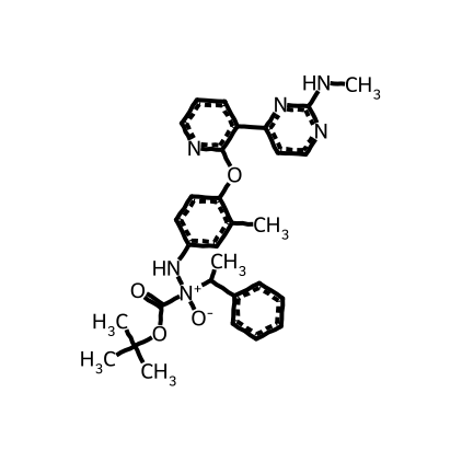 CNc1nccc(-c2cccnc2Oc2ccc(N[N+]([O-])(C(=O)OC(C)(C)C)C(C)c3ccccc3)cc2C)n1